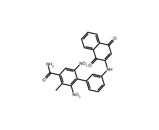 Cc1c(C(N)=O)cc([N+](=O)[O-])c(-c2cccc(NC3=CC(=O)c4ccccc4C3=O)c2)c1[N+](=O)[O-]